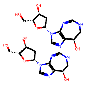 OC[C@H]1O[C@@H](n2cnc3c2N=CNC[C@H]3O)C[C@@H]1O.OC[C@H]1O[C@@H](n2cnc3c2N=CNC[C@H]3O)C[C@@H]1O